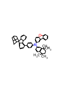 CC1(C)CCC(C)(C)c2cc(N(c3ccc(-c4cccc5c4C4C=CC=CC4C54C5CC6CC7CC4C75C6)cc3)c3ccc4oc5ccccc5c4c3)ccc21